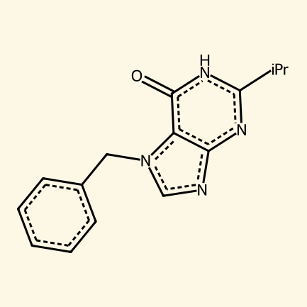 CC(C)c1nc2ncn(Cc3ccccc3)c2c(=O)[nH]1